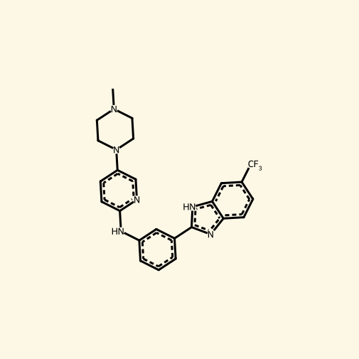 CN1CCN(c2ccc(Nc3cccc(-c4nc5ccc(C(F)(F)F)cc5[nH]4)c3)nc2)CC1